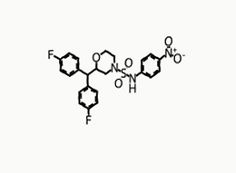 O=[N+]([O-])c1ccc(NS(=O)(=O)N2CCOC(C(c3ccc(F)cc3)c3ccc(F)cc3)C2)cc1